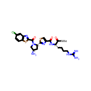 CNC(=O)[C@H](CCCCNC(=N)N)NC(=O)c1csc([C@@H]2C[C@@H](N)CN2C(=O)c2nc3cc(Cl)ccc3s2)n1